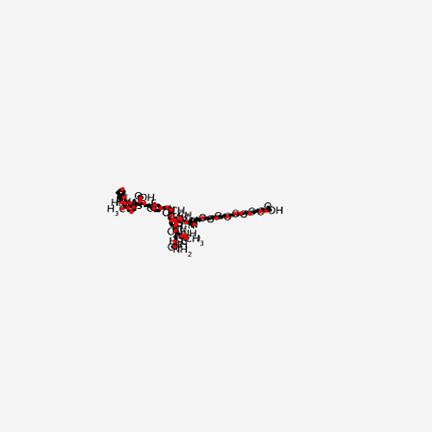 CC1=C(Nc2nc3ccccc3s2)NNC2=C1CCCN2c1nc(C(=O)O)c(CCCOc2ccc(C#CCN(C)C(=O)OCc3ccc(NC(=O)[C@H](CCCNC(N)=O)NC(=O)[C@@H](N)C(C)C)cc3CN(C)C(=O)OCc3cn(CCOCCOCCOCCOCCOCCOCCOCCOCCC(=O)O)nn3)cc2F)s1